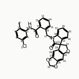 Cc1ccc(Cl)cc1NC(=O)c1ccccc1CN1C(=O)C2(COc3cc4c(cc32)OCO4)c2ccccc21